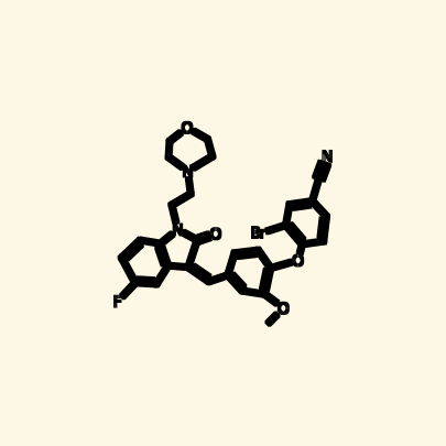 COc1cc(C=C2C(=O)N(CCN3CCOCC3)c3ccc(F)cc32)ccc1Oc1ccc(C#N)cc1Br